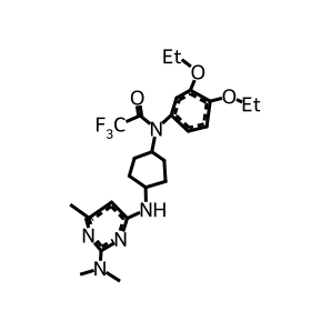 CCOc1ccc(N(C(=O)C(F)(F)F)C2CCC(Nc3cc(C)nc(N(C)C)n3)CC2)cc1OCC